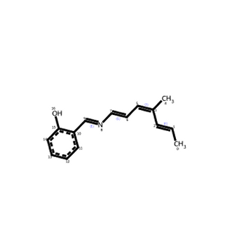 C/C=C/C(C)=C\C=C\N=C\c1ccccc1O